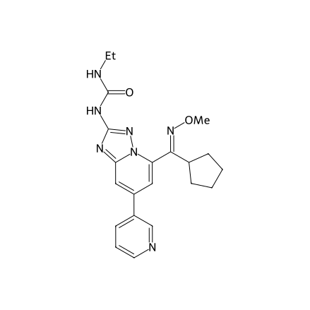 CCNC(=O)Nc1nc2cc(-c3cccnc3)cc(C(=NOC)C3CCCC3)n2n1